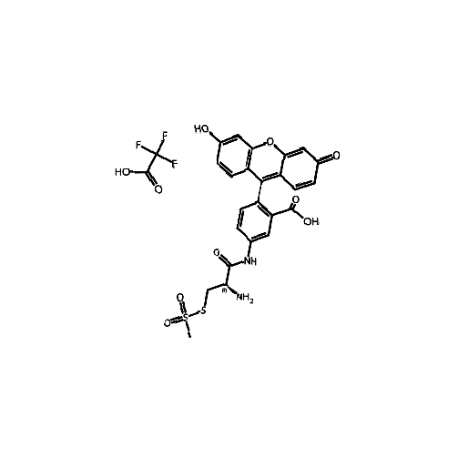 CS(=O)(=O)SC[C@H](N)C(=O)Nc1ccc(-c2c3ccc(=O)cc-3oc3cc(O)ccc23)c(C(=O)O)c1.O=C(O)C(F)(F)F